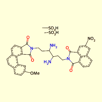 COc1ccc2ccc3ccc4c(c3c2c1)C(=O)N(CCC(N)C(N)CCN1C(=O)c2cccc3cc([N+](=O)[O-])cc(c23)C1=O)C4=O.CS(=O)(=O)O.CS(=O)(=O)O